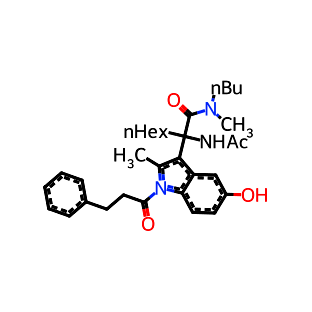 CCCCCCC(NC(C)=O)(C(=O)N(C)CCCC)c1c(C)n(C(=O)CCc2ccccc2)c2ccc(O)cc12